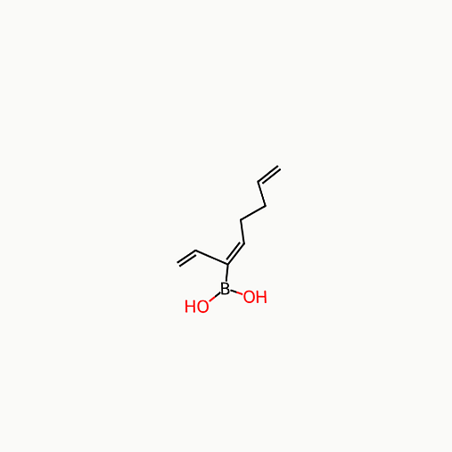 C=CCC/C=C(\C=C)B(O)O